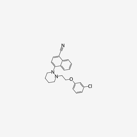 N#Cc1ccc(N2CCCCN2CCOc2cccc(Cl)c2)c2ccccc12